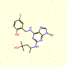 CCn1cnc2c(NCc3cc(F)ccc3O)nc(NC(C)CC(C)(C)O)nc21